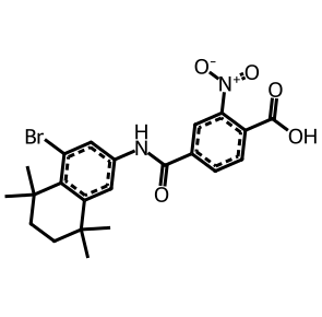 CC1(C)CCC(C)(C)c2c(Br)cc(NC(=O)c3ccc(C(=O)O)c([N+](=O)[O-])c3)cc21